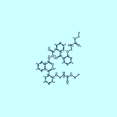 CCOC(=O)NCOc1ccccc1C(=O)c1ccccc1C(=O)OOC(=O)c1ccccc1C(=O)c1ccccc1OCNC(=O)OCC